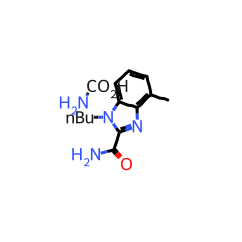 CCCCn1c(C(N)=O)nc2c(C)cccc21.NC(=O)O